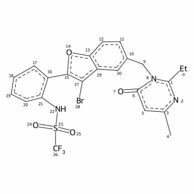 CCc1nc(C)cc(=O)n1Cc1ccc2oc(-c3ccccc3NS(=O)(=O)C(F)(F)F)c(Br)c2c1